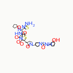 Nc1nc(C(=NOC2CCCC2)C(=O)N[C@@H]2C(=O)N3C(C(=O)[O-])=C(C=C4CCN(Cc5cc[n+](CC(=O)NCc6cccc(O)c6)cc5)C4=O)CS[C@H]23)cs1